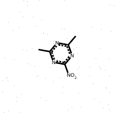 Cc1nc(C)nc([N+](=O)[O-])n1